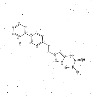 CCN(CC)C(=N)Nc1cc(CCc2ccc(-c3ccccc3F)cc2)no1